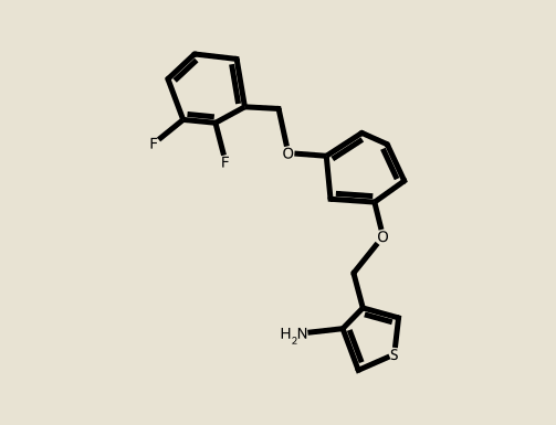 Nc1cscc1COc1cccc(OCc2cccc(F)c2F)c1